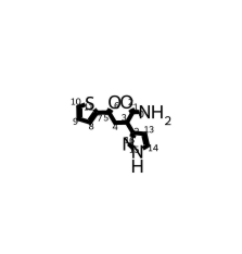 NC(=O)C(CC(=O)c1cccs1)c1cc[nH]n1